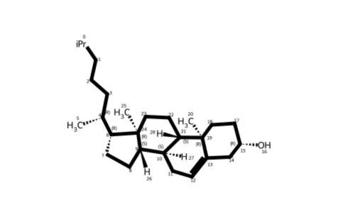 CC(C)CCC[C@@H](C)[C@H]1CC[C@H]2[C@@H]3CC=C4[CH][C@@H](O)CC[C@]4(C)[C@H]3CC[C@]12C